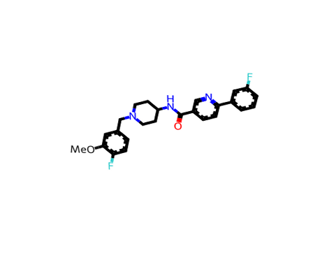 COc1cc(CN2CCC(NC(=O)c3ccc(-c4cccc(F)c4)nc3)CC2)ccc1F